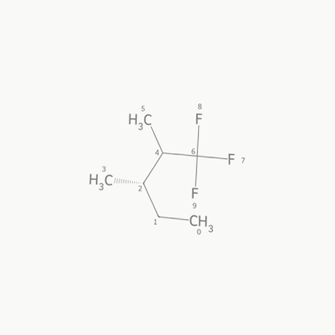 CC[C@H](C)C(C)C(F)(F)F